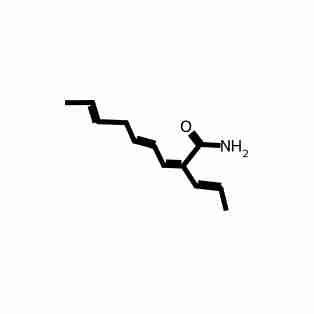 C/C=C/C/C=C/C=C(/C=C/C)C(N)=O